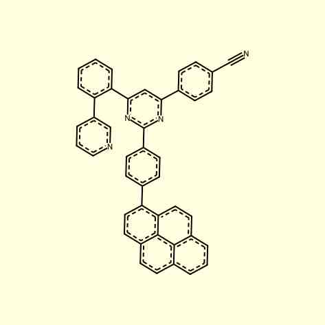 N#Cc1ccc(-c2cc(-c3ccccc3-c3cccnc3)nc(-c3ccc(-c4ccc5ccc6cccc7ccc4c5c67)cc3)n2)cc1